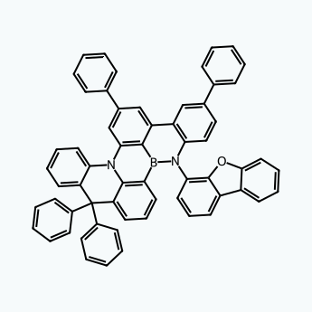 c1ccc(-c2ccc3c(c2)-c2cc(-c4ccccc4)cc4c2B(c2cccc5c2N4c2ccccc2C5(c2ccccc2)c2ccccc2)N3c2cccc3c2oc2ccccc23)cc1